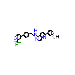 Cc1cc(-c2ccc3c(NCCc4ccc(-c5ccnc(C(F)(F)F)c5)cc4)nccc3n2)ccn1